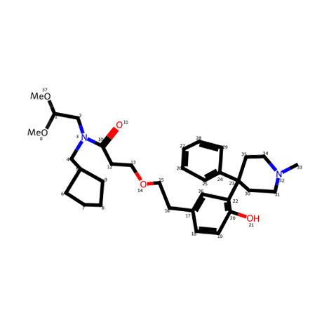 COC(CN(CC1CCCC1)C(=O)CCOCCc1ccc(O)c(C2(c3ccccc3)CCN(C)CC2)c1)OC